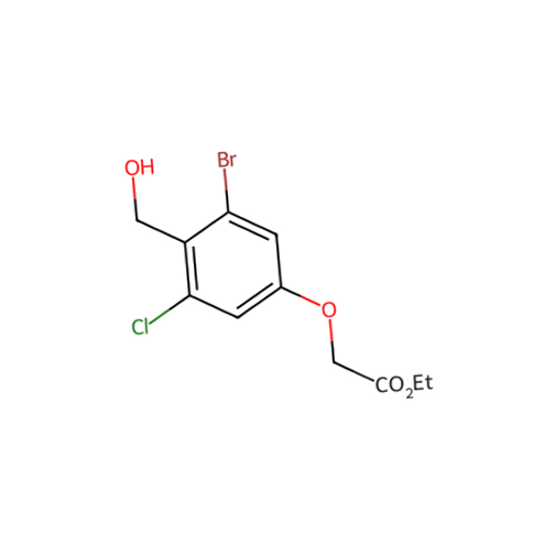 CCOC(=O)COc1cc(Cl)c(CO)c(Br)c1